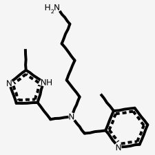 Cc1ncc(CN(CCCCCN)Cc2ncccc2C)[nH]1